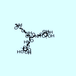 CNC(=O)OCCOCCNC(=O)CN(CC(=O)NCCO[C@@H]1O[C@@H](C)[C@@H](O)[C@@H](O)[C@@H]1O)CC(=O)NCCO[C@@H]1O[C@@H](C)[C@@H](O)[C@@H](O)[C@@H]1O